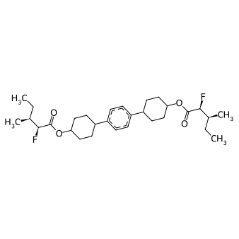 CC[C@H](C)[C@H](F)C(=O)OC1CCC(c2ccc(C3CCC(OC(=O)[C@@H](F)[C@@H](C)CC)CC3)cc2)CC1